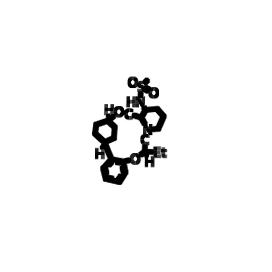 CC[C@H]1CN2CCCC(NS(C)(=O)=O)C2CO[C@H]2CC[C@H](CC2)c2ccccc2O1